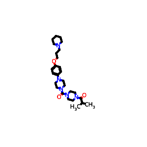 CC(C)C(=O)N1CCN(C(=O)N2CCN(c3ccc(OCCCN4CCCCC4)cc3)CC2)CC1